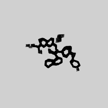 Cl.Cl.N=C(N)c1ccc2ccc(CN(C(=O)c3cccc4ccccc34)c3ccc(OC4CCNCC4)cc3)cc2c1